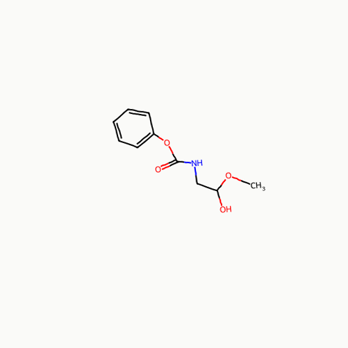 COC(O)CNC(=O)Oc1ccccc1